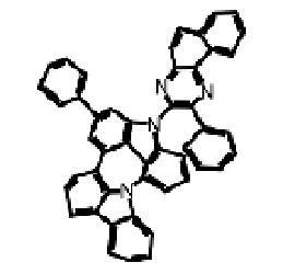 c1ccc(-c2cc3c4cccc5c6ccccc6n(c6cccc7c6c3c(c2)n7-c2nc3ccc6ccccc6c3nc2-c2ccccc2)c45)cc1